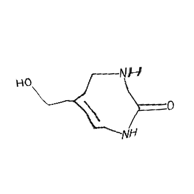 O=C1NC=C(CO)CN1